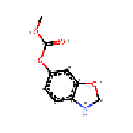 COC(=O)Oc1ccc2c(c1)OCN2